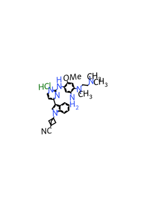 COc1cc(N(C)CCN(C)C)c(N)cc1Nc1nccc(-c2cn(C34CC(C#N)(C3)C4)c3ccccc23)n1.Cl